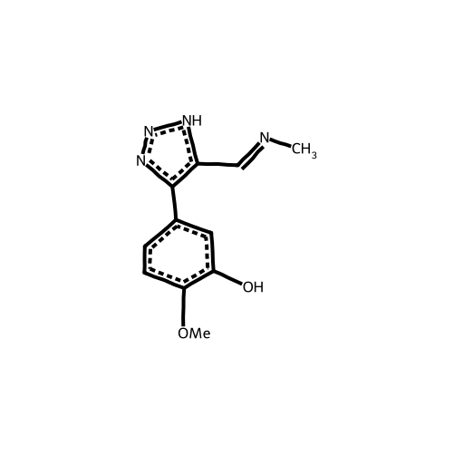 C/N=C/c1[nH]nnc1-c1ccc(OC)c(O)c1